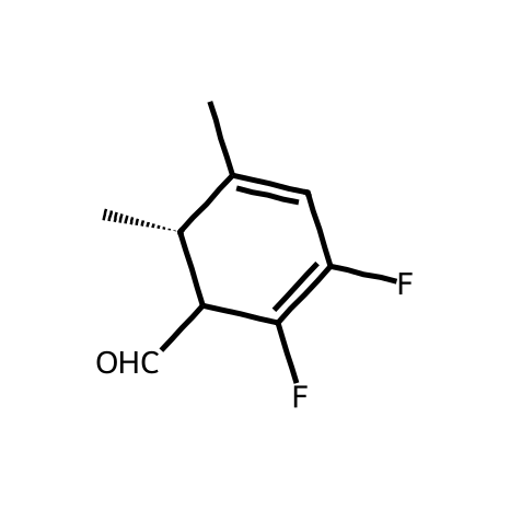 CC1=CC(F)=C(F)C(C=O)[C@@H]1C